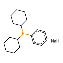 [NaH].c1ccc(P(C2CCCCC2)C2CCCCC2)cc1